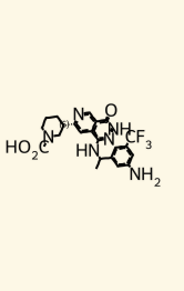 CC(Nc1n[nH]c(=O)c2cnc([C@H]3CCCN(C(=O)O)C3)cc12)c1cc(N)cc(C(F)(F)F)c1